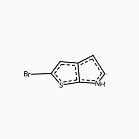 Brc1cc2c[c][nH]c2s1